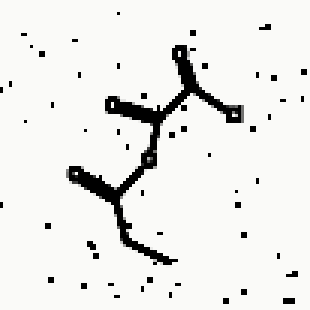 CCC(=O)OC(=O)C(=O)Cl